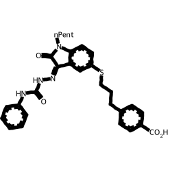 CCCCCN1C(=O)C(=NNC(=O)Nc2ccccc2)c2cc(SCCCc3ccc(C(=O)O)cc3)ccc21